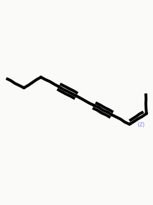 C/C=C\C#CC#CCCC